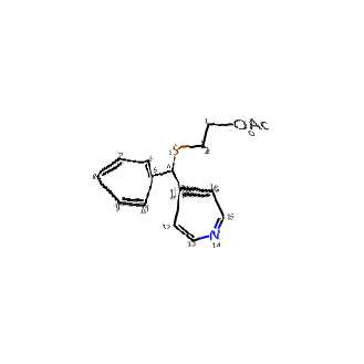 CC(=O)OCCSC(c1ccccc1)c1ccncc1